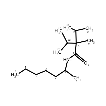 CCCCCC(C)NC(=O)C(C)(C(C)C)C(C)C